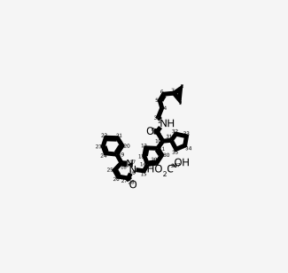 O=C(NCC/C=C\C1CC1)C(c1ccc(Cn2nc(-c3ccccc3)ccc2=O)cc1)C1CCCC1.O=C(O)O